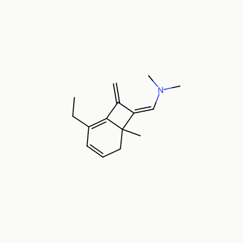 C=C1C2=C(CC)C=CCC2(C)/C1=C/N(C)C